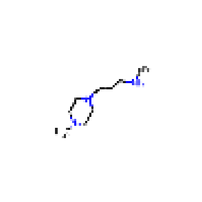 CCCNCCCN1CCN(C)CC1